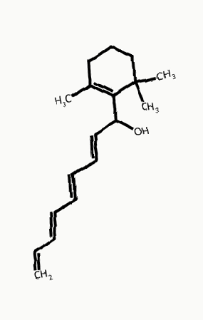 C=CC=CC=CC=CC(O)C1=C(C)CCCC1(C)C